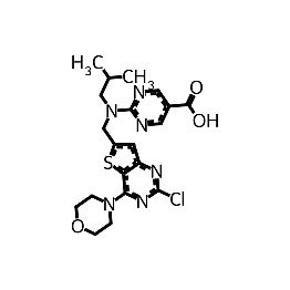 CC(C)CN(Cc1cc2nc(Cl)nc(N3CCOCC3)c2s1)c1ncc(C(=O)O)cn1